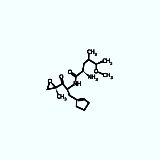 CO[C@H](C)C(C)C[C@H](N)C(=O)N[C@@H](CC1=CCCC1)C(=O)[C@@]1(C)CO1